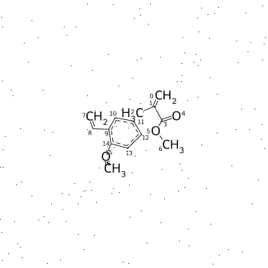 C=C(C)C(=O)OC.C=Cc1ccccc1OC